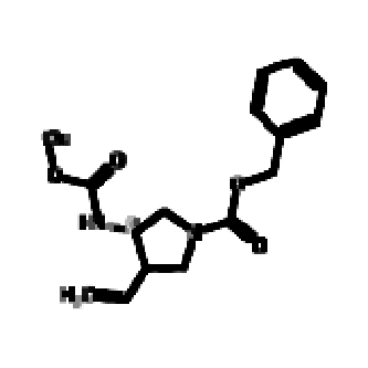 C=CC1CN(C(=O)OCc2ccccc2)C[C@H]1NC(=O)OC(C)(C)C